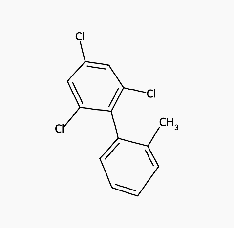 Cc1ccccc1-c1c(Cl)cc(Cl)cc1Cl